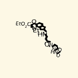 CCOC(=O)c1cn(CC)c2c3c(ccc2c1=O)CC(CNCCC1CN(c2ccc4c(n2)NC(=O)CO4)CO1)C3